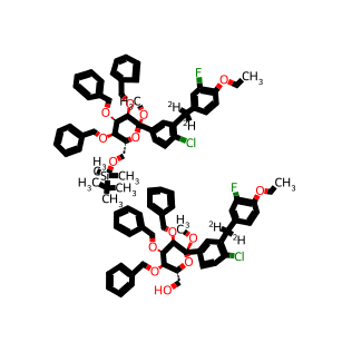 [2H]C([2H])(c1ccc(OCC)c(F)c1)c1cc([C@]2(OC)O[C@H](CO)[C@@H](OCc3ccccc3)[C@H](OCc3ccccc3)[C@H]2OCc2ccccc2)ccc1Cl.[2H]C([2H])(c1ccc(OCC)c(F)c1)c1cc([C@]2(OC)O[C@H](CO[Si](C)(C)C(C)(C)C)[C@@H](OCc3ccccc3)[C@H](OCc3ccccc3)[C@H]2OCc2ccccc2)ccc1Cl